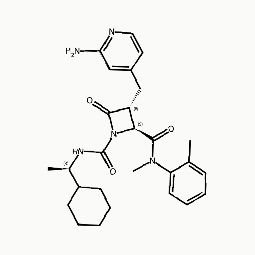 Cc1ccccc1N(C)C(=O)[C@@H]1[C@@H](Cc2ccnc(N)c2)C(=O)N1C(=O)N[C@H](C)C1CCCCC1